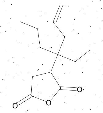 C=CCC(CC)(CCC)C1CC(=O)OC1=O